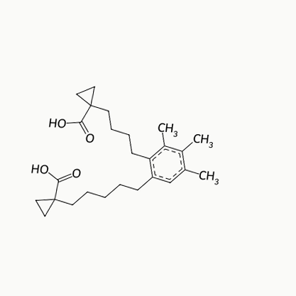 Cc1cc(CCCCCC2(C(=O)O)CC2)c(CCCCC2(C(=O)O)CC2)c(C)c1C